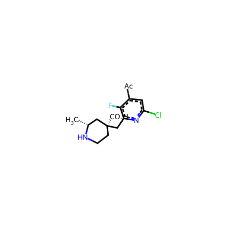 CC(=O)c1cc(Cl)nc(C[C@@]2(C(=O)O)CCN[C@H](C)C2)c1F